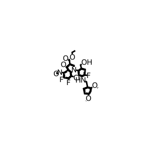 CCOC(=O)c1cn(-c2cc(NCc3ccc(OC)cc3OC)c(F)cc2CO)c2c(Cl)c(F)c(F)c(N=O)c2c1=O